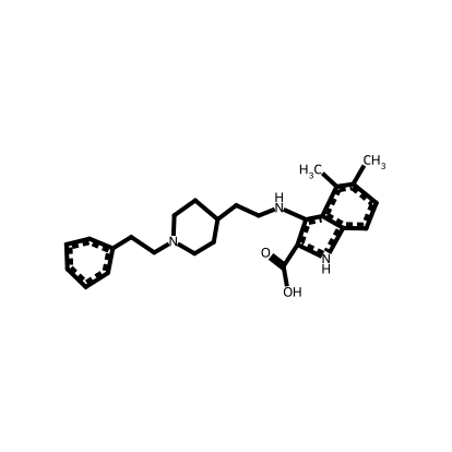 Cc1ccc2[nH]c(C(=O)O)c(NCCC3CCN(CCc4ccccc4)CC3)c2c1C